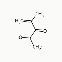 [CH2]C([O])C(=O)C(=C)C